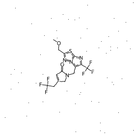 COCc1nn2c(CN3CC(CC(F)(F)F)=CC3=O)c(C(F)(F)F)nc2s1